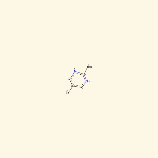 CCc1cnc(C(C)(C)C)nc1